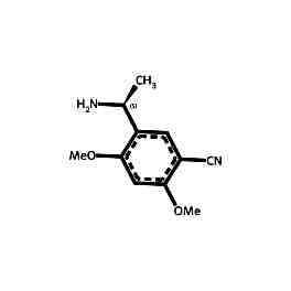 COc1cc(OC)c([C@H](C)N)cc1C#N